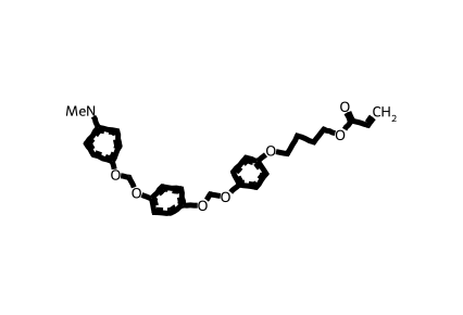 C=CC(=O)OCCCCOc1ccc(OCOc2ccc(OCOc3ccc(NC)cc3)cc2)cc1